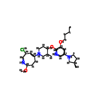 CCCCOc1cc(N2CC[C@@H](C)C2)cnc1OC1CCN(C2=CC(Cl)/C=N\C(OC)CC2)CC1C